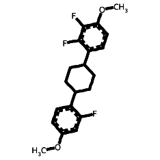 COc1ccc(C2CCC(c3ccc(OC)c(F)c3F)CC2)c(F)c1